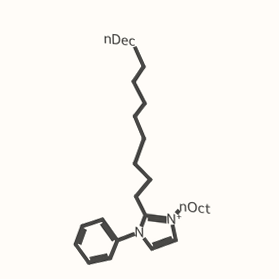 CCCCCCCCCCCCCCCCCCc1n(-c2ccccc2)cc[n+]1CCCCCCCC